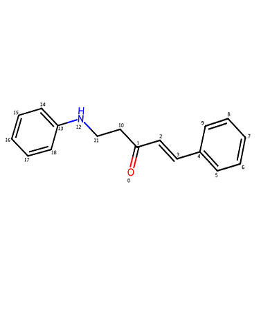 O=C(C=Cc1ccccc1)CCNc1ccccc1